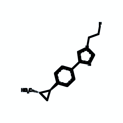 O=C(O)[C@H]1C[C@@H]1c1ccc(-c2cn(CCF)cn2)cc1